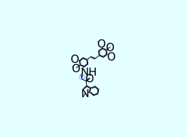 COc1cc(C=Cc2cc(OC)c(OC)c(OC)c2)cc(N/C=C\C(=O)c2cn(C)c3ccccc23)c1OC